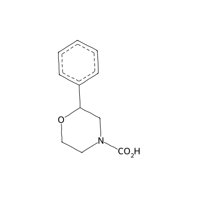 O=C(O)N1CCOC(c2ccccc2)C1